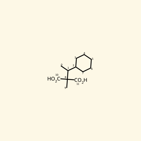 CC(C1CCCCC1)C(C)(C(=O)O)C(=O)O